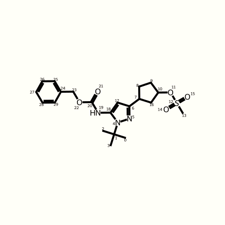 CC(C)(C)n1nc(C2CCC(OS(C)(=O)=O)C2)cc1NC(=O)OCc1ccccc1